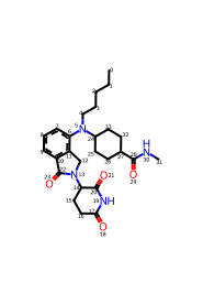 CCCCCN(c1cccc2c1CN(C1CCC(=O)NC1=O)C2=O)C1CCC(C(=O)NC)CC1